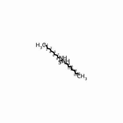 CCCCCCCCCNC(=S)NCCCCCCCCC